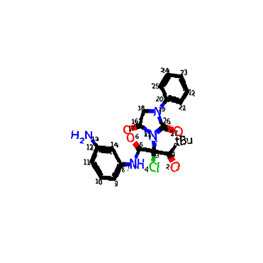 CC(C)(C)C(=O)C(Cl)(C(=O)Nc1cccc(N)c1)N1C(=O)CN(c2ccccc2)C1=O